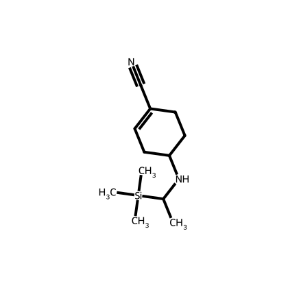 CC(NC1CC=C(C#N)CC1)[Si](C)(C)C